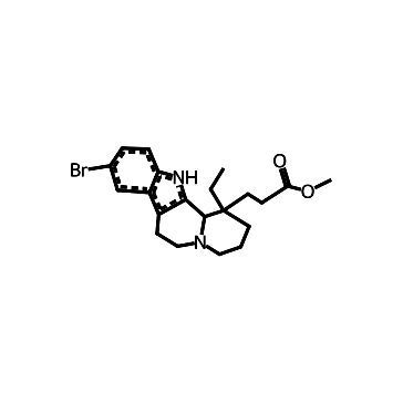 CCC1(CCC(=O)OC)CCCN2CCc3c([nH]c4ccc(Br)cc34)C21